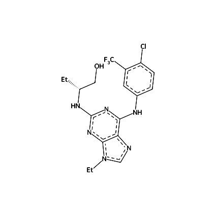 CC[C@H](CO)Nc1nc(Nc2ccc(Cl)c(C(F)(F)F)c2)c2ncn(CC)c2n1